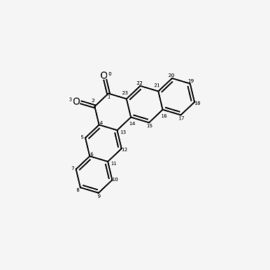 O=C1C(=O)c2cc3ccccc3cc2-c2cc3ccccc3cc21